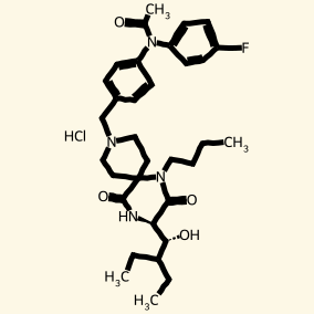 CCCCN1C(=O)[C@@H]([C@H](O)C(CC)CC)NC(=O)C12CCN(Cc1ccc(N(C(C)=O)c3ccc(F)cc3)cc1)CC2.Cl